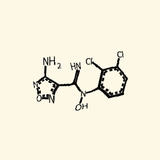 N=C(c1nonc1N)N(O)c1cccc(Cl)c1Cl